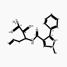 C=CCC(NC(=O)c1cn(C)nc1-c1ccccc1)C(=O)C(N)=O